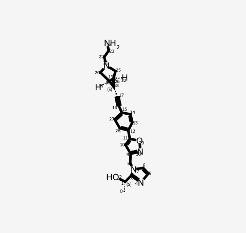 C[C@H](O)c1nccn1Cc1cc(-c2ccc(C#C[C@@H]3[C@H]4CN(CCN)C[C@@H]34)cc2)on1